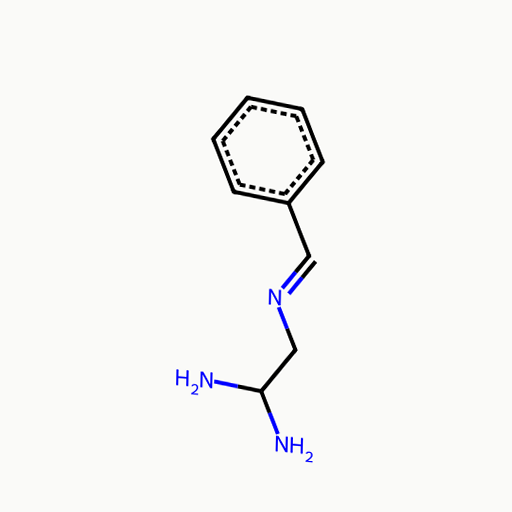 NC(N)CN=Cc1ccccc1